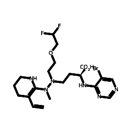 C=CC1=C(N(C)N(CCOCC(F)F)CC[C@H](Nc2ncncc2Br)C(=O)O)NCCC1